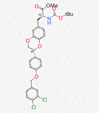 COC(=O)[C@H](Cc1ccc2c(c1)OC[C@@H](c1ccc(OCc3ccc(Cl)c(Cl)c3)cc1)O2)NC(=O)OC(C)(C)C